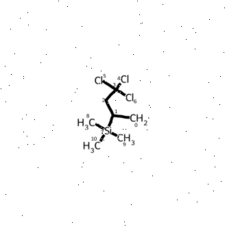 [CH2]C(CC(Cl)(Cl)Cl)[Si](C)(C)C